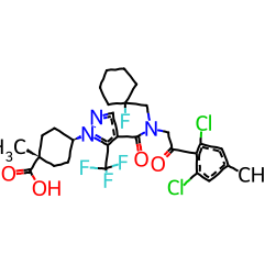 Cc1cc(Cl)c(C(=O)CN(CC2(F)CCCCC2)C(=O)c2cnn([C@H]3CC[C@](C)(C(=O)O)CC3)c2C(F)(F)F)c(Cl)c1